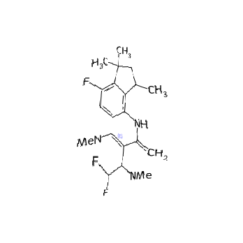 C=C(Nc1ccc(F)c2c1C(C)CC2(C)C)/C(=C/NC)C(NC)C(F)F